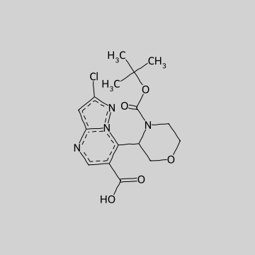 CC(C)(C)OC(=O)N1CCOCC1c1c(C(=O)O)cnc2cc(Cl)nn12